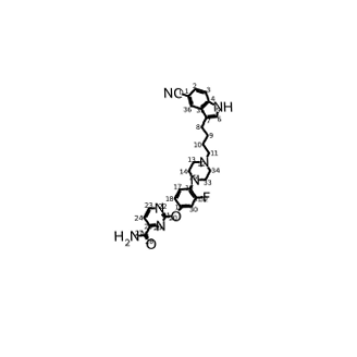 N#Cc1ccc2[nH]cc(CCCCN3CCN(c4ccc(Oc5nccc(C(N)=O)n5)cc4F)CC3)c2c1